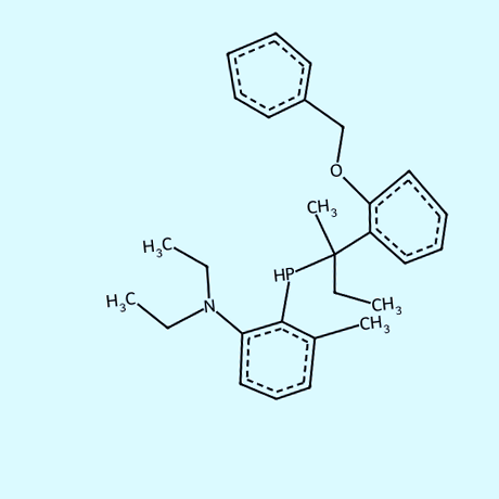 CCN(CC)c1cccc(C)c1PC(C)(CC)c1ccccc1OCc1ccccc1